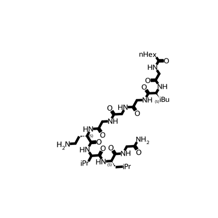 CCCCCCC(=O)NCC(=O)NC(C(=O)NCC(=O)NCC(=O)NCC(=O)N[C@@H](CCN)C(=O)NC(C(=O)N[C@@H](CC(C)C)C(=O)NCC(N)=O)C(C)C)[C@@H](C)CC